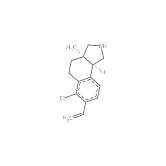 C=Cc1ccc2c(c1Cl)CC[C@@]1(C)CNC[C@@H]21